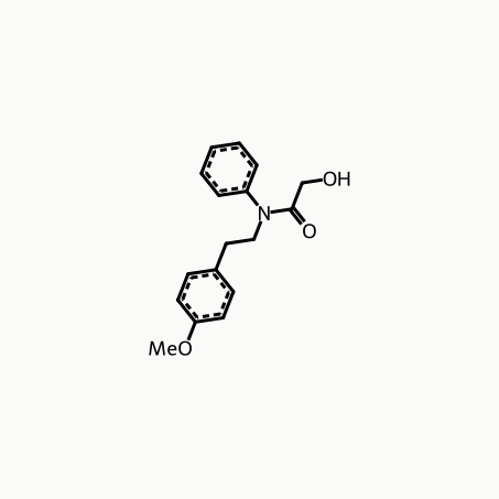 COc1ccc(CCN(C(=O)CO)c2ccccc2)cc1